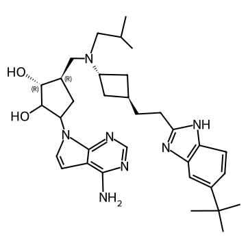 CC(C)CN(C[C@H]1CC(n2ccc3c(N)ncnc32)C(O)[C@@H]1O)[C@H]1C[C@H](CCc2nc3cc(C(C)(C)C)ccc3[nH]2)C1